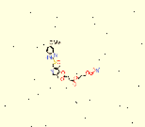 C=NOOOCCCOC(=O)CCC(=O)Oc1c(C)cnc(C[S+]([O-])c2nc3cc(OC)ccc3[nH]2)c1C